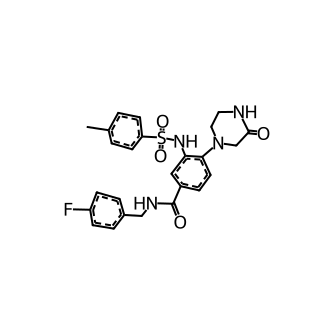 Cc1ccc(S(=O)(=O)Nc2cc(C(=O)NCc3ccc(F)cc3)ccc2N2CCNC(=O)C2)cc1